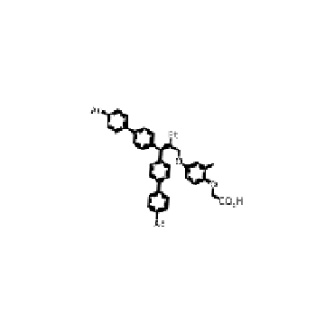 CCC(COc1ccc(OCC(=O)O)c(C)c1)=C(c1ccc(-c2ccc(C(C)=O)cc2)cc1)c1ccc(-c2ccc(C(C)=O)cc2)cc1